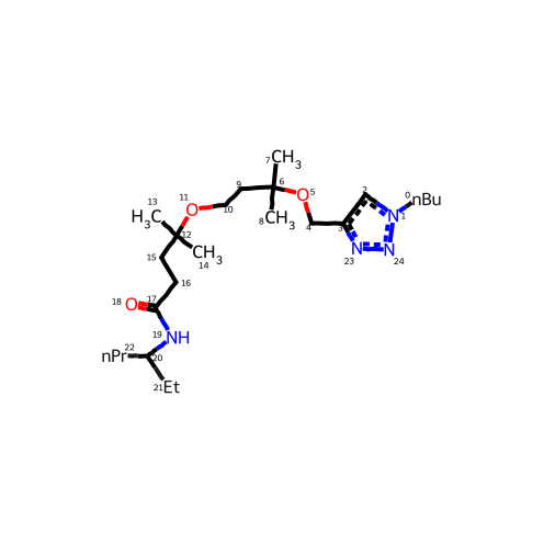 CCCCn1cc(COC(C)(C)CCOC(C)(C)CCC(=O)NC(CC)CCC)nn1